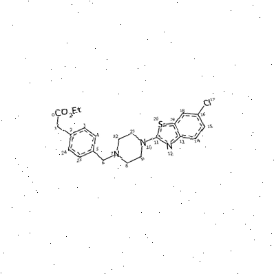 CCOC(=O)Cc1ccc(CN2CCN(c3nc4ccc(Cl)cc4s3)CC2)cc1